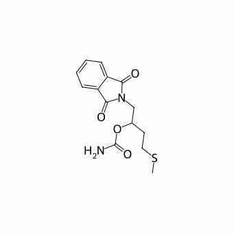 CSCCC(CN1C(=O)c2ccccc2C1=O)OC(N)=O